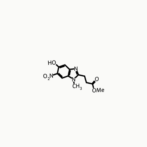 COC(=O)CCc1nc2cc(O)c([N+](=O)[O-])cc2n1C